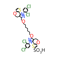 O=S(=O)(O)c1cc2c(s1)-c1c(c(OCCCCCCCOCc3nn(-c4ccc(Cl)cc4Cl)c4c3CCOc3ccsc3-4)nn1-c1ccc(Cl)cc1Cl)CCO2